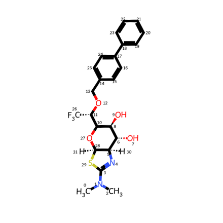 CN(C)C1=N[C@@H]2[C@@H](O)[C@H](O)C([C@@H](OCc3ccc(-c4ccccc4)cc3)C(F)(F)F)O[C@@H]2S1